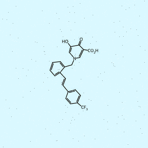 O=C(O)c1cn(Cc2ccccc2/C=C/c2ccc(C(F)(F)F)cc2)cc(O)c1=O